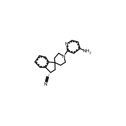 N#C[C@H]1CC2(CCN(c3cc(N)ccn3)CC2)c2ccccc21